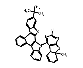 CC(C)(C)c1ccc2c(c1)sc1c2c2ccccc2c2c3ccccc3n(-c3nc(Cl)nc4c3C3C=CC=CC3(C)S4)c12